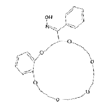 ON=C(c1ccccc1)C1COc2ccccc2OCCOCCOCCOCCO1